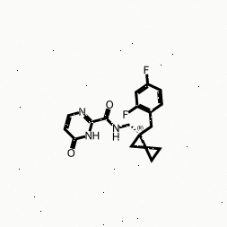 O=C(NC[C@@]1(Cc2ccc(F)cc2F)CC12CC2)c1nccc(=O)[nH]1